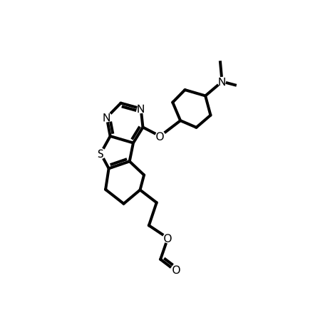 CN(C)C1CCC(Oc2ncnc3sc4c(c23)CC(CCOC=O)CC4)CC1